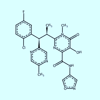 Cc1cnc([C@@H](c2cc(F)ccc2Cl)[C@@H](C)c2nc(C(=O)Nc3cnoc3)c(O)c(=O)n2C)cn1